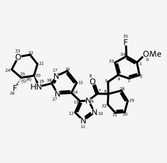 COc1ccc(CC2(C(=O)n3nncc3-c3ccnc(N[C@@H]4CCOC[C@H]4F)n3)C=CC=CC2)cc1F